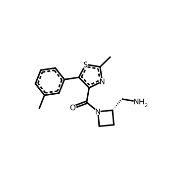 Cc1cccc(-c2sc(C)nc2C(=O)N2CC[C@H]2CN)c1